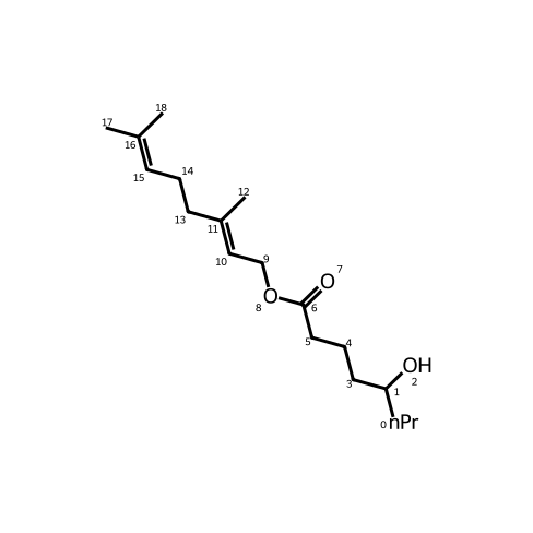 CCCC(O)CCCC(=O)OC/C=C(\C)CCC=C(C)C